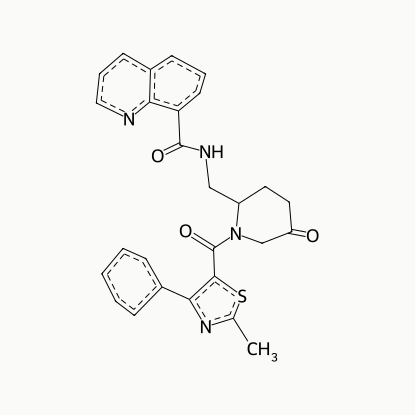 Cc1nc(-c2ccccc2)c(C(=O)N2CC(=O)CCC2CNC(=O)c2cccc3cccnc23)s1